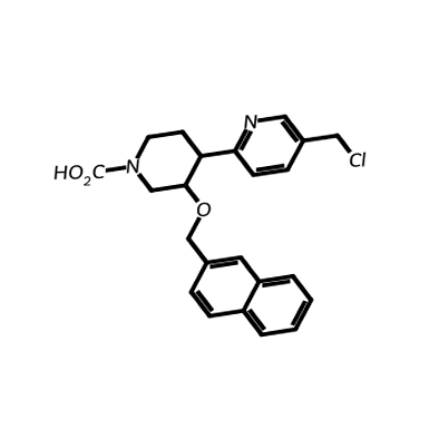 O=C(O)N1CCC(c2ccc(CCl)cn2)C(OCc2ccc3ccccc3c2)C1